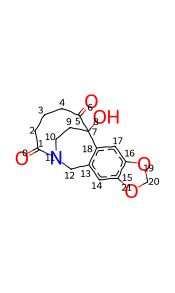 O=C1CCCC(=O)C2(O)CCN1Cc1cc3c(cc12)OCO3